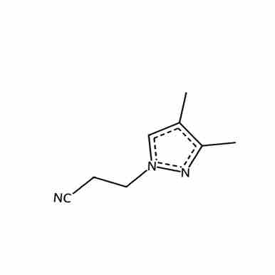 Cc1cn(CCC#N)nc1C